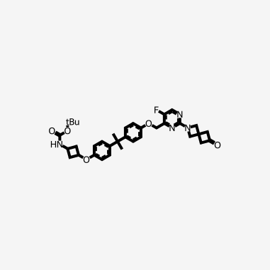 CC(C)(C)OC(=O)NC1CC(Oc2ccc(C(C)(C)c3ccc(OCc4nc(N5CC6(CC(=O)C6)C5)ncc4F)cc3)cc2)C1